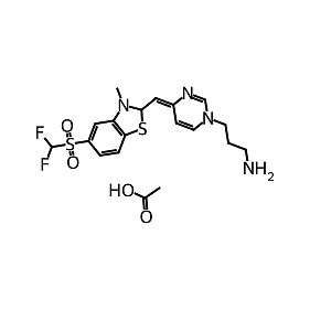 CC(=O)O.CN1c2cc(S(=O)(=O)C(F)F)ccc2SC1C=C1C=CN(CCCN)C=N1